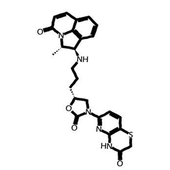 C[C@H]1[C@H](NCCC[C@@H]2CN(c3ccc4c(n3)NC(=O)CS4)C(=O)O2)c2cccc3ccc(=O)n1c23